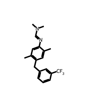 Cc1cc(/N=C/N(C)C)c(C)cc1Cc1cccc(C(F)(F)F)c1